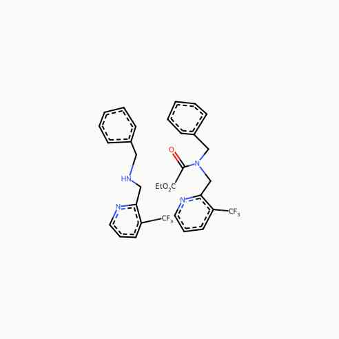 CCOC(=O)C(=O)N(Cc1ccccc1)Cc1ncccc1C(F)(F)F.FC(F)(F)c1cccnc1CNCc1ccccc1